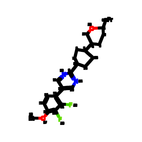 CCCC1CCC(C2CCC(c3ncc(-c4ccc(OCC)c(F)c4F)cn3)CC2)CO1